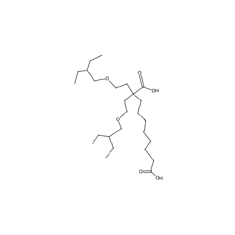 CCC(CC)COCCC(CCCCCCCC(=O)O)(CCOCC(CC)CC)C(=O)O